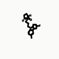 Cc1ccc2c(c1)c1cc(F)ccc1n2CCCN1C(=O)[C@@H]2CC[C@H]1C2